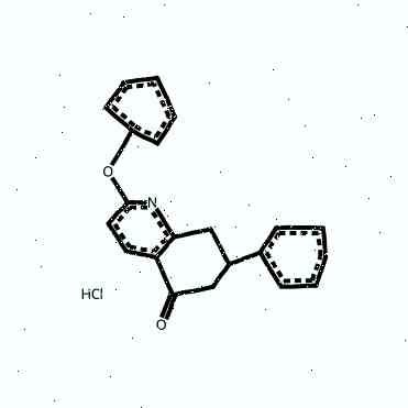 Cl.O=C1CC(c2ccccc2)Cc2nc(Oc3ccccc3)ccc21